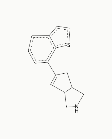 C1=C(c2cccc3ccsc23)CC2CNCC12